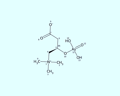 C[N+](C)(C)C[C@@H](CC(=O)[O-])O[As](=O)(O)O